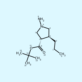 CCC[C@@H]1CN(N)C[C@H]1C(=O)OC(C)(C)C